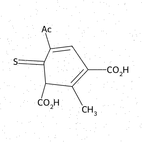 CC(=O)C1=CC(C(=O)O)=C(C)C(C(=O)O)C1=S